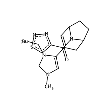 CN1C=C(C2=CC3CCC(C2)N3C(=O)c2csnn2)N(CC(C)(C)C)C1